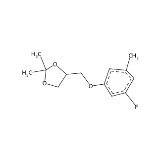 Cc1cc(F)cc(OCC2COC(C)(C)O2)c1